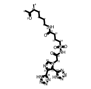 CC(=O)[C@@H](C)CCCCNC(=O)CCCS(=O)(=O)NC(=O)Cn1cnc(-c2nnn[nH]2)c1-c1nnn[nH]1